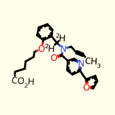 [2H]C([2H])(c1ccccc1OCCCCCC(=O)O)N(CC#CC)C(=O)c1ccc(-c2ccco2)nc1